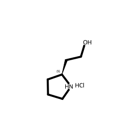 Cl.OCC[C@@H]1CCCN1